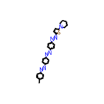 Cc1ccc(N=Nc2ccc(N=Nc3ccc(N=Nc4ccc(N5CCCCC5)s4)cc3)cc2)cc1